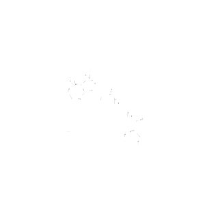 CCCSc1ccnc2[nH]cc(C(=O)C(=O)N3CCN(C(=O)c4ccccc4)C[C@H]3C)c12